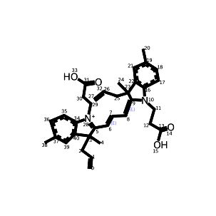 C=CCC1(C)C(/C=C/C=C2/N(CCC(=O)O)c3ccc(C)cc3C2(C)CC=C)=[N+](CCC(=O)O)c2ccc(C)cc21